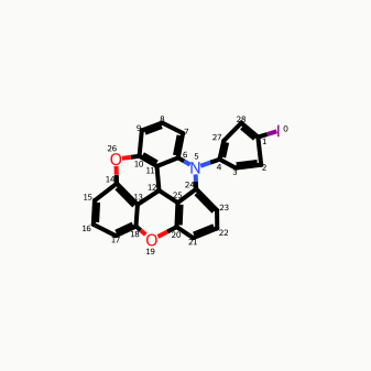 Ic1ccc(N2c3cccc4c3C3c5c(cccc5Oc5cccc2c53)O4)cc1